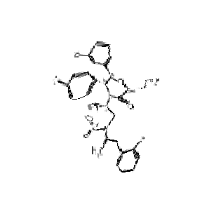 CC(C)[C@@H](CN(C(C)Cc1ccccc1F)[SH](=O)=O)N1C(=O)[C@@H](CC(=O)O)O[C@H](c2cccc(Cl)c2)[C@H]1c1ccc(Cl)cc1